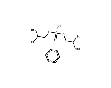 CCCCC(CC)COP(=O)(O)OCC(CC)CCCC.c1ccccc1